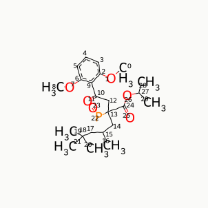 COc1cccc(OC)c1C(=O)CC(CC(C)CC(C)(C)C)(P=O)C(=O)OC(C)C